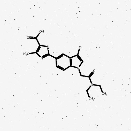 CCN(CC)C(=O)Cn1cc(Cl)c2cc(-c3nc(C)c(C(=O)O)s3)ccc21